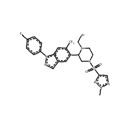 CC(C)CN1CCN(S(=O)(=O)c2cnn(C)n2)CC1c1cc2cnn(-c3ccc(F)cc3)c2cc1C(F)(F)F